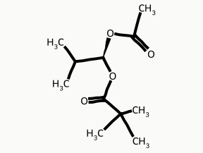 CC(=O)O[C@@H](OC(=O)C(C)(C)C)C(C)C